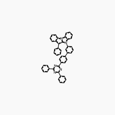 c1ccc(-c2nc(-c3ccccc3)nc(-c3ccc(-c4cccc(-n5c6ccccc6n6c7ccccc7c(-c7ccccc7)c56)c4)cc3)n2)cc1